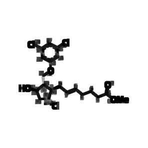 COC(=O)CCCC=CC[C@@H]1[C@@H](COc2cc(Cl)cc(Cl)c2)[C@H](O)C[C@H]1Cl